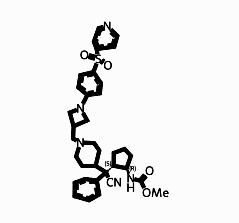 COC(=O)N[C@@H]1CCC[C@H]1C(C#N)(c1ccccc1)C1CCN(CC2CN(c3ccc(S(=O)(=O)c4ccncc4)cc3)C2)CC1